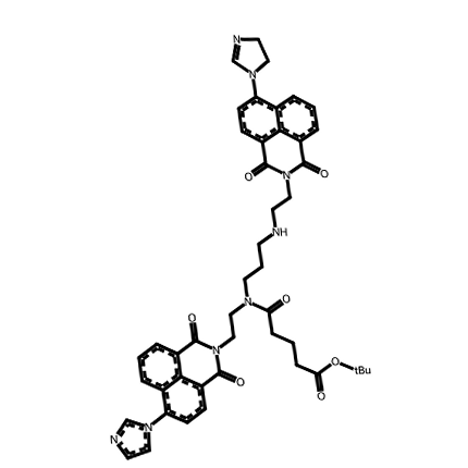 CC(C)(C)OC(=O)CCCC(=O)N(CCCNCCN1C(=O)c2cccc3c(N4C=NCC4)ccc(c23)C1=O)CCN1C(=O)c2cccc3c(-n4ccnc4)ccc(c23)C1=O